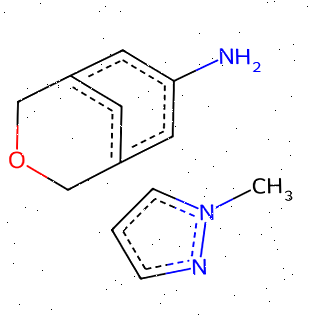 Cn1cccn1.Nc1cc2cc(c1)COC2